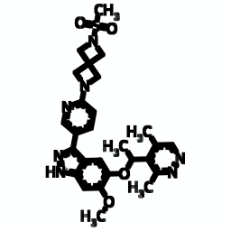 COc1cc2[nH]nc(-c3ccc(N4CC5(C4)CN(S(C)(=O)=O)C5)nc3)c2cc1OC(C)c1c(C)cnnc1C